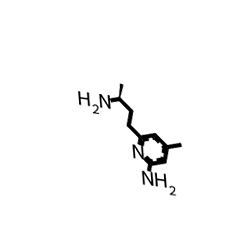 Cc1cc(N)nc(CC[C@H](C)N)c1